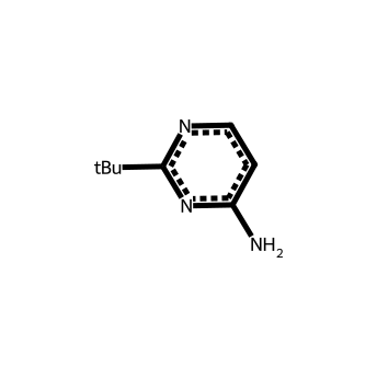 CC(C)(C)c1nccc(N)n1